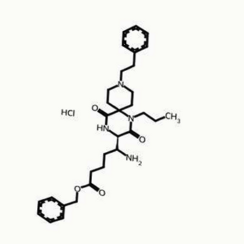 CCCN1C(=O)[C@@H](C(N)CCCC(=O)OCc2ccccc2)NC(=O)C12CCN(CCc1ccccc1)CC2.Cl